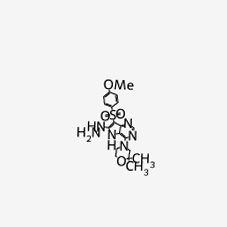 COc1ccc(S(=O)(=O)c2c(NN)[nH]c3c(N4CCOC(C)(C)C4)ncnc23)cc1